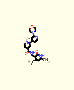 Cc1cc(C)c(CNC(=O)C2=CC(c3ccnc(N4CCOCC4)c3)N(C(C)C)C=C2)c(=O)[nH]1